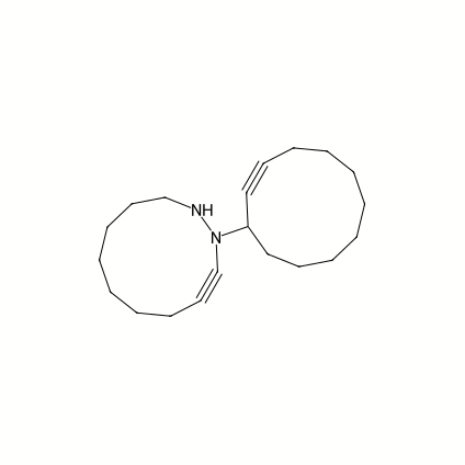 C1#CC(N2C#CCCCCCCCN2)CCCCCCCC1